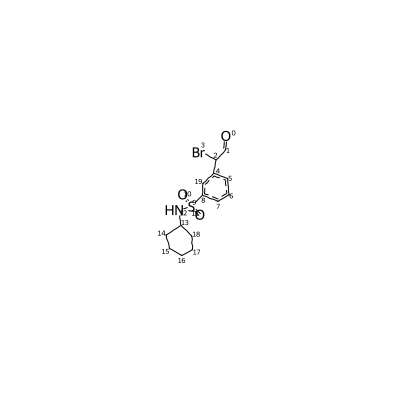 O=CC(Br)c1cccc(S(=O)(=O)NC2CCCCC2)c1